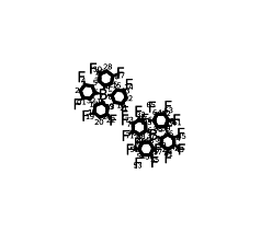 Fc1cc(F)cc([B-](c2cc(F)cc(F)c2)(c2cc(F)cc(F)c2)c2cc(F)cc(F)c2)c1.Fc1cc([B-](c2cc(F)c(F)c(F)c2F)(c2cc(F)c(F)c(F)c2F)c2cc(F)c(F)c(F)c2F)c(F)c(F)c1F